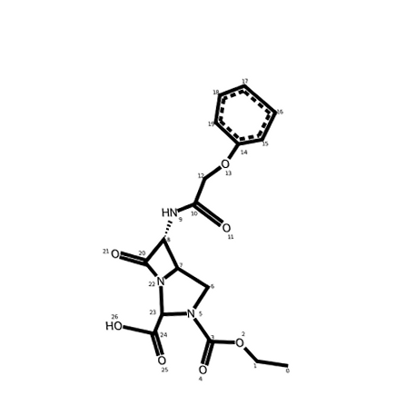 CCOC(=O)N1CC2[C@@H](NC(=O)COc3ccccc3)C(=O)N2C1C(=O)O